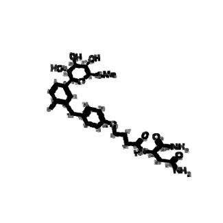 CS[C@H]1O[C@@H](c2ccc(C)c(Cc3ccc(OCCCC(=O)NC(CC(N)=O)C(N)=O)cc3)c2)[C@H](O)[C@@H](O)[C@@H]1O